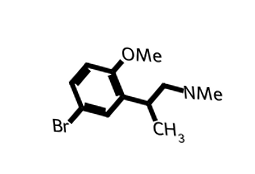 CNCC(C)c1cc(Br)ccc1OC